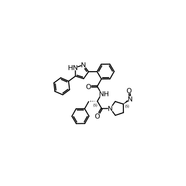 O=N[C@H]1CCN(C(=O)[C@H](Cc2ccccc2)NC(=O)c2ccccc2-c2cc(-c3ccccc3)[nH]n2)C1